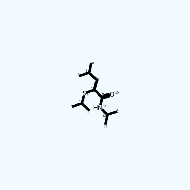 CC(C)CC(SC(C)C)C(=O)NC(C)C